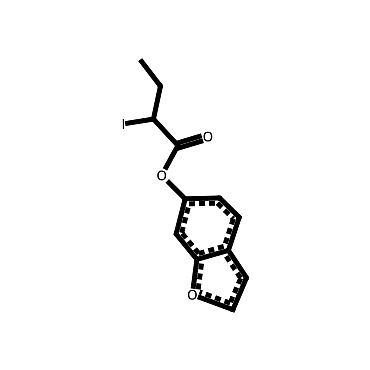 CCC(I)C(=O)Oc1ccc2ccoc2c1